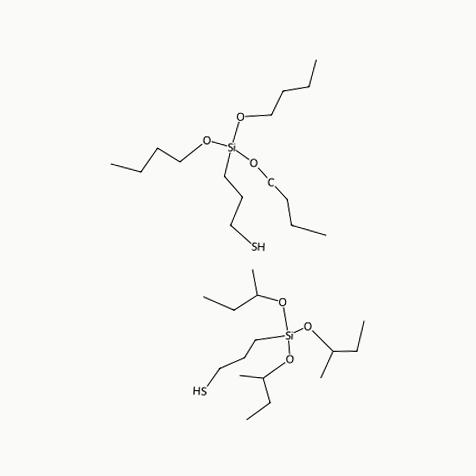 CCC(C)O[Si](CCCS)(OC(C)CC)OC(C)CC.CCCCO[Si](CCCS)(OCCCC)OCCCC